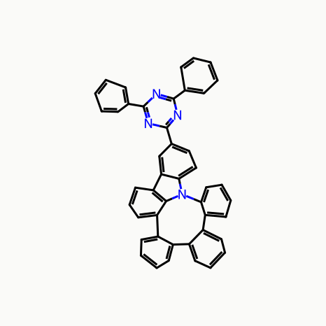 c1ccc(-c2nc(-c3ccccc3)nc(-c3ccc4c(c3)c3cccc5c6ccccc6c6ccccc6c6ccccc6n4c53)n2)cc1